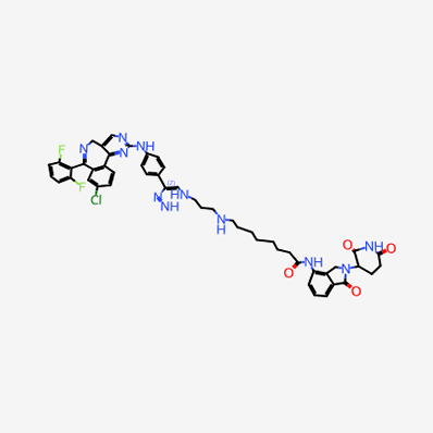 N=N/C(=C\NCCCNCCCCCCCC(=O)Nc1cccc2c1CN(C1CCC(=O)NC1=O)C2=O)c1ccc(Nc2ncc3c(n2)-c2ccc(Cl)cc2C(c2c(F)cccc2F)=NC3)cc1